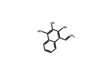 C=Cc1c(CCC)c(CCC)c(CCC)c2ccccc12